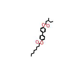 CCCCCCCC(=O)Oc1ccc(-c2ccc(OC(=O)CC(C)CC)cc2)cc1